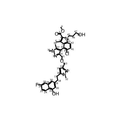 COC(=O)c1c(C)c2c(-c3c(COCc4cc(CCc5cc(O)c6ccc(F)cc6c5)n(C)n4)nn(C)c3C)c(Cl)ccc2n1CCCO